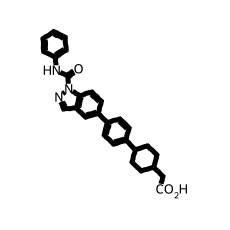 O=C(O)CC1CCC(c2ccc(-c3ccc4c(cnn4C(=O)Nc4ccccc4)c3)cc2)CC1